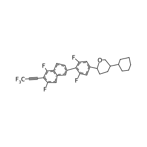 Fc1cc2cc(-c3c(F)cc(C4CCC(C5CCCCC5)CO4)cc3F)ccc2c(F)c1C#CC(F)(F)F